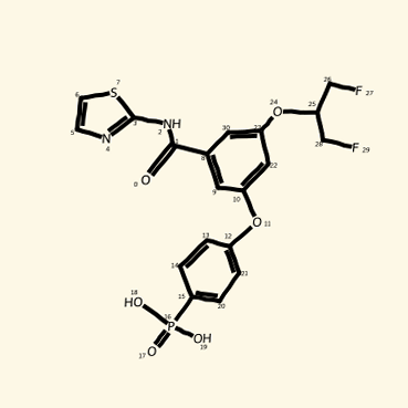 O=C(Nc1nccs1)c1cc(Oc2ccc(P(=O)(O)O)cc2)cc(OC(CF)CF)c1